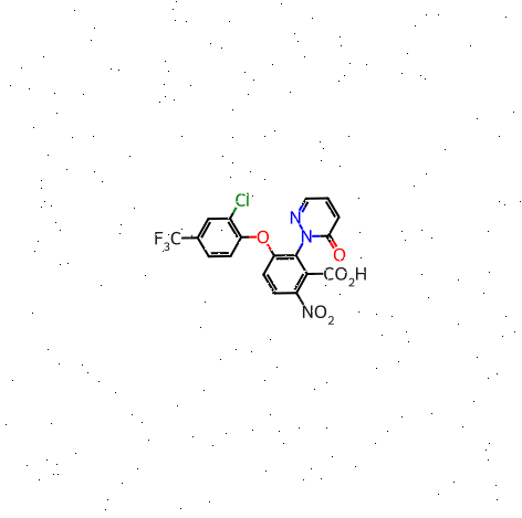 O=C(O)c1c([N+](=O)[O-])ccc(Oc2ccc(C(F)(F)F)cc2Cl)c1-n1ncccc1=O